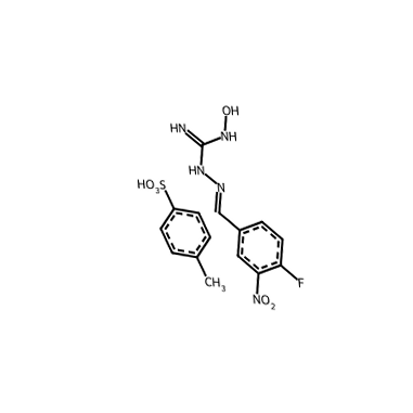 Cc1ccc(S(=O)(=O)O)cc1.N=C(NO)NN=Cc1ccc(F)c([N+](=O)[O-])c1